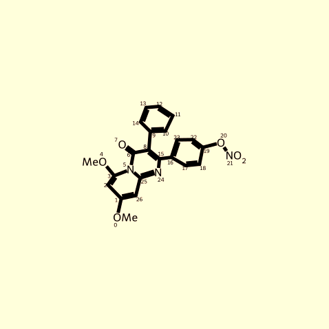 COc1cc(OC)n2c(=O)c(-c3ccccc3)c(-c3ccc(O[N+](=O)[O-])cc3)nc2c1